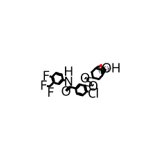 C[C@H]1CC2CC(S(=O)(=O)c3cc(C(=O)Nc4ccc(F)c(C(F)F)c4)ccc3Cl)CC1[C@]2(C)O